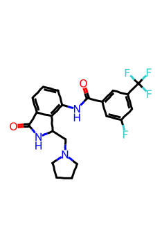 O=C(Nc1cccc2c1C(CN1CCCC1)NC2=O)c1cc(F)cc(C(F)(F)F)c1